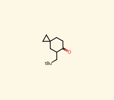 CC(C)(C)CC1CC2(CCC1=O)CC2